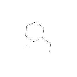 BrCC1CCCCC1.[Zn]